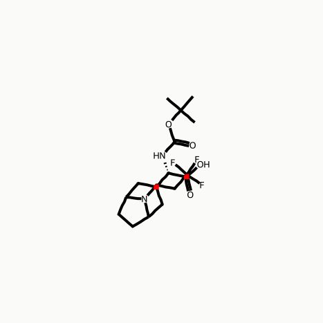 CC(C)(C)OC(=O)N[C@H](C(=O)O)C1CC2CCC(C1)N2CCC(F)(F)F